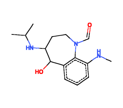 CNc1cccc2c1N(C=O)CCC(NC(C)C)C2O